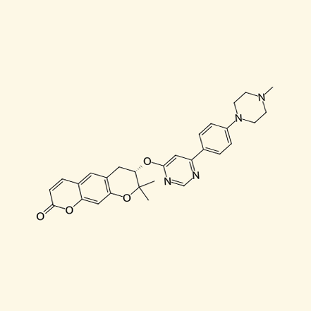 CN1CCN(c2ccc(-c3cc(O[C@H]4Cc5cc6ccc(=O)oc6cc5OC4(C)C)ncn3)cc2)CC1